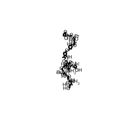 CC[C@H](C)[C@H](NC(=O)CNC(=O)CNC(=O)[C@@H](N)[C@@H](C)[C@@H](O)CO)C(=O)NCC(=O)NC(C[S+]([O-])c1[nH]c2cc(OCc3ccc(NC(=O)[C@H](C)NC(=O)[C@@H](NC(=O)CCN4C(=O)C=CC4=O)C(C)C)cc3)ccc2c1C)C(=O)N[C@@H](CC(N)=O)C(=O)N1C[C@H](O)C[C@H]1C(C)=O